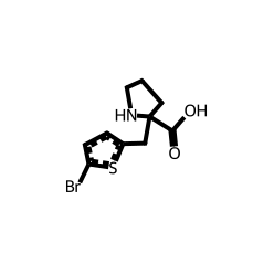 O=C(O)C1(Cc2ccc(Br)s2)CCCN1